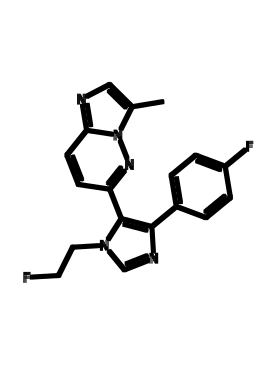 Cc1cnc2ccc(-c3c(-c4ccc(F)cc4)ncn3CCF)nn12